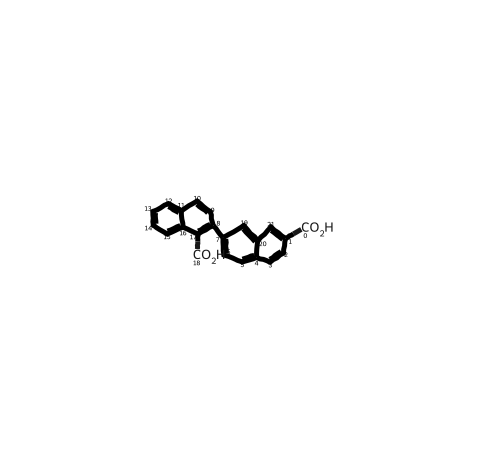 O=C(O)c1ccc2ccc(-c3ccc4ccccc4c3C(=O)O)cc2c1